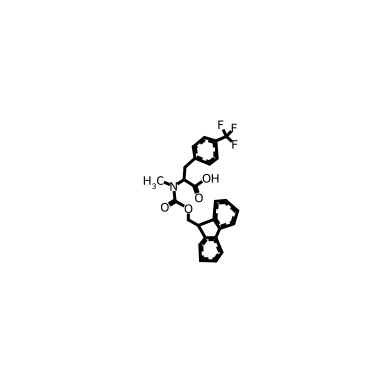 CN(C(=O)OCC1c2ccccc2-c2ccccc21)C(Cc1ccc(C(F)(F)F)cc1)C(=O)O